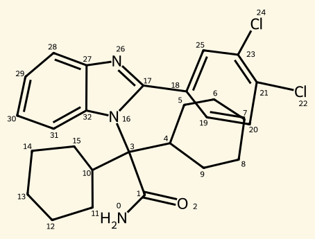 NC(=O)C(C1CCCCC1)(C1CCCCC1)n1c(-c2ccc(Cl)c(Cl)c2)nc2ccccc21